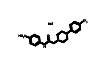 Cl.O=C(CN1CCN(c2ccc(C(F)(F)F)cc2)CC1)Nc1ccc(C(=O)O)cc1